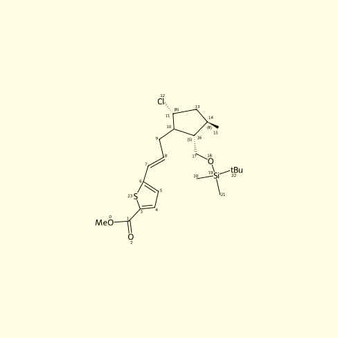 COC(=O)c1ccc(C=CCC2[C@H](Cl)C[C@@H](C)[C@@H]2CO[Si](C)(C)C(C)(C)C)s1